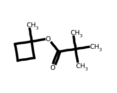 CC1(OC(=O)C(C)(C)C)CCC1